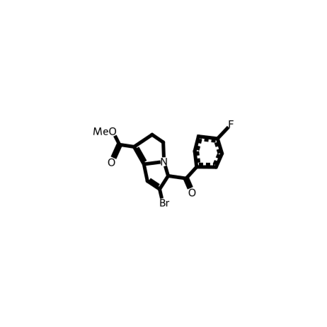 COC(=O)C1=C2C=C(Br)C(C(=O)c3ccc(F)cc3)N2CC1